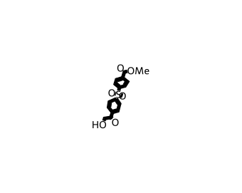 COC(=O)c1ccc(S(=O)(=O)c2ccc(C(=O)CO)cc2)cc1